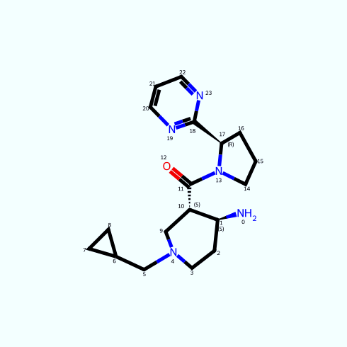 N[C@H]1CCN(CC2CC2)C[C@@H]1C(=O)N1CCC[C@@H]1c1ncccn1